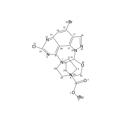 CC(C)(C)OC(=O)N1CCN(c2nc(Cl)nc3cc(Br)c4cnn(C5CCCCO5)c4c23)CC1